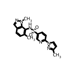 Cc1ccn(-c2ccc(S(=O)(=O)Nc3c(C)ccc4cnn(C)c34)cn2)n1